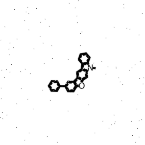 Cn1c2ccccc2c2cc3c(cc21)oc1ccc(-c2ccccc2)cc13